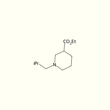 CCOC(=O)C1CCCN(CC(C)C)C1